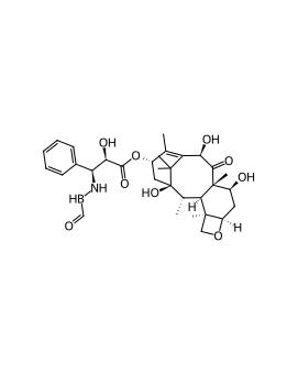 CC1=C2[C@@H](O)C(=O)[C@@]3(C)[C@H]([C@H](C)[C@](O)(C[C@@H]1OC(=O)[C@H](O)[C@@H](NBC=O)c1ccccc1)C2(C)C)[C@]1(C)CO[C@@H]1C[C@@H]3O